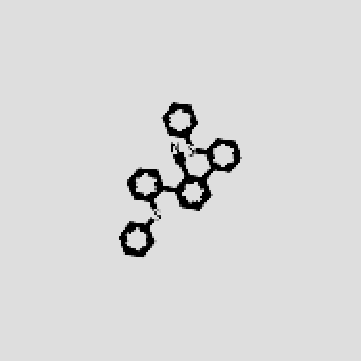 N#Cc1c(-c2ccccc2Sc2ccccc2)cccc1-c1ccccc1Sc1ccccc1